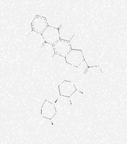 COc1cccc2c1C(=O)c1c(O)c3c(c(O)c1C2=O)C[C@@](I)(C(=O)CO)C[C@@H]3O[C@H]1C[C@H](N2CCO[C@H](OC)C2)[C@H](O)[C@H](C)O1